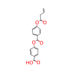 C=CCC(=O)Oc1ccc(C(=O)Oc2ccc(C(=O)O)cc2)cc1